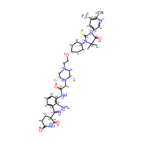 C[C@@H]1CN(CCO[C@H]2CC[C@H](N3C(=S)N(c4cnc(C#N)c(C(F)(F)F)c4)C(=O)C3(C)C)CC2)C[C@H](C)N1CC(=O)Nc1cccc2c(C3CCC(=O)NC3=O)nn(C)c12